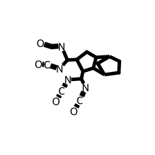 O=C=NC(N=C=O)C1CC2C3CCC(C3)C2C1C(N=C=O)N=C=O